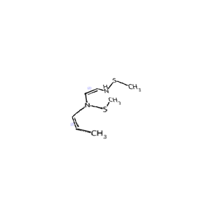 C/C=C\N(/C=C\NSC)SC